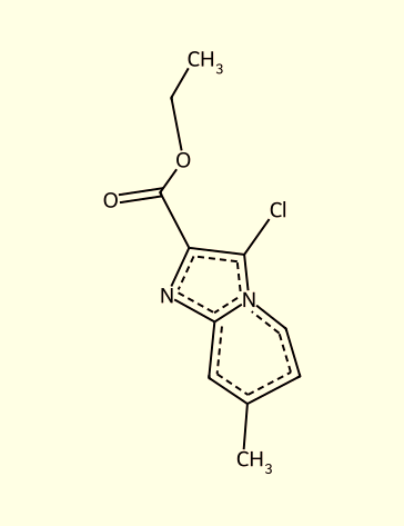 CCOC(=O)c1nc2cc(C)ccn2c1Cl